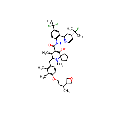 C=C1C(C(=O)Nc2ccc(C(C)(F)F)cc2C2=NC=C[C@@H](C(C)(C)F)C2)=C(O)C2(CCCC2)N(C)C1Cc1ccc(OCCC(C)C2COC2)c(C)c1C